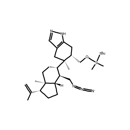 C=C(C)[C@H]1CC[C@H]2[C@H](CN=[N+]=[N-])[C@@H]([C@@]3(C)Cc4cn[nH]c4C[C@@H]3CO[Si](C)(C)C(C)(C)C)CC[C@]12C